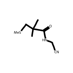 CSCC(C)(C)C(=O)NCC#N